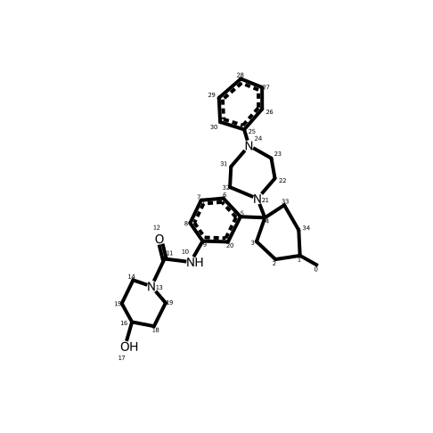 CC1CCC(c2cccc(NC(=O)N3CCC(O)CC3)c2)(N2CCN(c3ccccc3)CC2)CC1